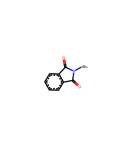 [CH2]CCCN1C(=O)c2ccccc2C1=O